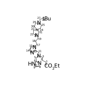 CCOC(=O)CCCN(Cc1ncc[nH]1)Cc1nccn1CCCN1CCC2(CCN(CC(C)(C)C)CC2)C1